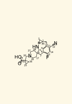 C[C@@H]1C[C@H]1NCC1(Cc2ccc(C#N)cc2F)CCN(CC2(C(=O)O)CC2)CC1